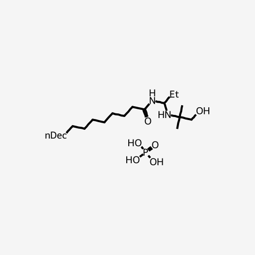 CCCCCCCCCCCCCCCCCC(=O)NC(CC)NC(C)(C)CO.O=P(O)(O)O